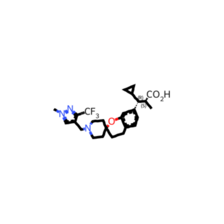 C[C@H](C(=O)O)[C@H](c1ccc2c(c1)OC1(CC2)CCN(Cc2cn(C)nc2C(F)(F)F)CC1)C1CC1